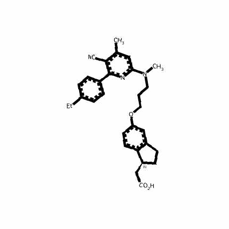 CCc1ccc(-c2nc(N(C)CCCOc3ccc4c(c3)CC[C@H]4CC(=O)O)cc(C)c2C#N)cc1